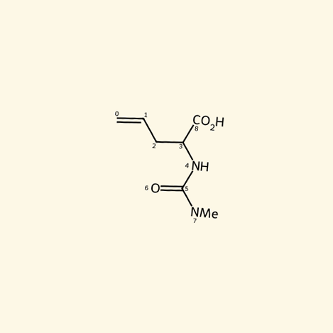 C=CCC(NC(=O)NC)C(=O)O